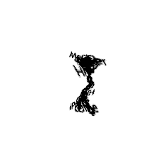 COC[C@H]1C[C@@H](c2ncc(-c3ccc4c(c3)COc3cc5c(ccc6nc([C@@H]7C[C@H](COCC8CCCCC8)CN7C(=O)[C@@H](NC(=O)OC)C(C)C)[nH]c65)cc3-4)[nH]2)N(C(=O)[C@@H](NC(=O)OC)C(C)C)C1